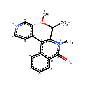 Cn1c(C(OC(C)(C)C)C(=O)O)c(-c2ccncc2)c2ccccc2c1=O